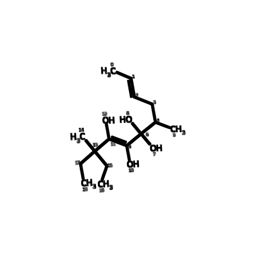 CC=CCC(C)C(O)(O)C(O)=C(O)C(C)(CC)CC